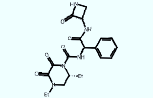 CC[C@@H]1CN(CC)C(=O)C(=O)N1C(=O)NC(C(=O)NC1CNC1=O)c1ccccc1